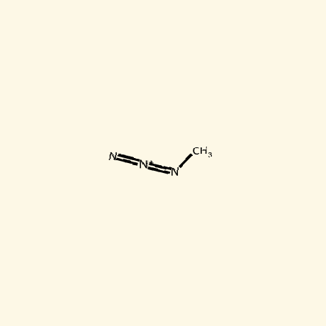 CN=[N+]=[N-]